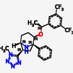 C[C@H](O[C@@H]1CC[C@@H]2N[C@@]1(c1ccccc1)C[C@H]2c1nnnn1C)c1cc(C(F)(F)F)cc(C(F)(F)F)c1